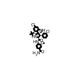 COc1cc(C(N)=O)ccc1NC(=O)[C@H]1N[C@H](CC(C)(C)C)[C@]2(CNc3cc(Cl)ccc32)[C@@H]1c1cccc(Cl)c1F